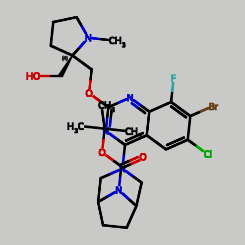 CN1CCC[C@@]1(CO)COc1nc(N2CC3CCC(C2)N3C(=O)OC(C)(C)C)c2cc(Cl)c(Br)c(F)c2n1